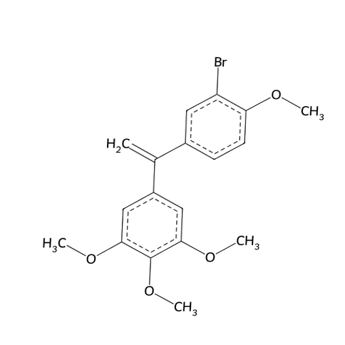 C=C(c1ccc(OC)c(Br)c1)c1cc(OC)c(OC)c(OC)c1